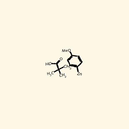 CC(C)(C)C(=O)O.COc1cc[c]([Zn])cc1